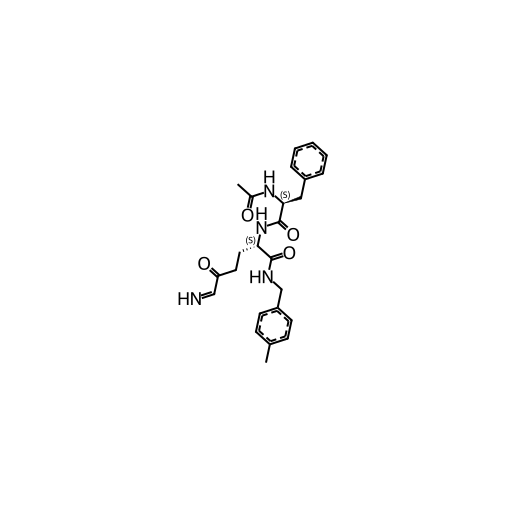 CC(=O)N[C@@H](Cc1ccccc1)C(=O)N[C@@H](CCC(=O)C=N)C(=O)NCc1ccc(C)cc1